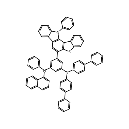 c1ccc(-c2ccc(N(c3ccc(-c4ccccc4)cc3)c3cc(-c4cc5c6ccccc6n(-c6ccccc6)c5c5c4sc4ccccc45)cc(N(c4ccccc4)c4cccc5ccccc45)c3)cc2)cc1